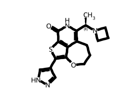 C[C@H](c1[nH]c(=O)c2sc(-c3cn[nH]c3)c3c2c1CCCO3)N1CCC1